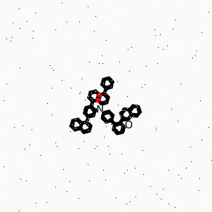 c1ccc(-c2ccc(N(c3ccc(-c4cccc5oc6c7ccccc7ccc6c45)cc3)c3cc(-c4cccc5ccccc45)ccc3-c3ccccc3)cc2)cc1